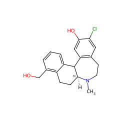 CN1CCc2cc(Cl)c(O)cc2C2c3cccc(CO)c3CC[C@@H]21